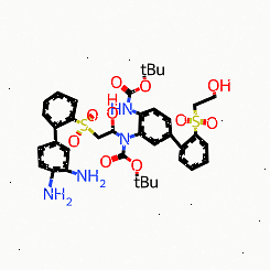 CC(C)(C)OC(=O)Nc1ccc(-c2ccccc2S(=O)(=O)CCO)cc1N(C(=O)OC(C)(C)C)C(O)CS(=O)(=O)c1ccccc1-c1ccc(N)c(N)c1